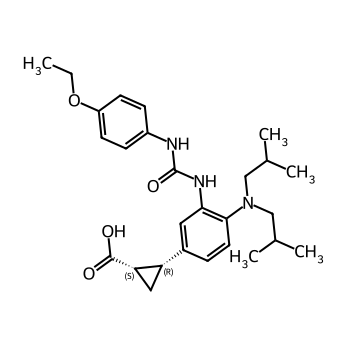 CCOc1ccc(NC(=O)Nc2cc([C@@H]3C[C@@H]3C(=O)O)ccc2N(CC(C)C)CC(C)C)cc1